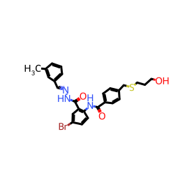 Cc1cccc(/C=N/NC(=O)c2cc(Br)ccc2NC(=O)c2ccc(CSCCCO)cc2)c1